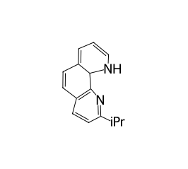 CC(C)c1ccc2c(n1)C1NC=CC=C1C=C2